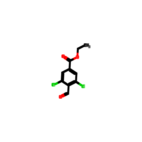 CCOC(=O)c1cc(Cl)c(C=O)c(Cl)c1